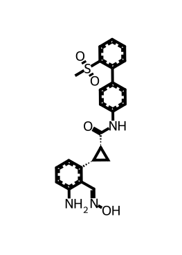 CS(=O)(=O)c1ccccc1-c1ccc(NC(=O)[C@@H]2C[C@@H]2c2cccc(N)c2C=NO)cc1